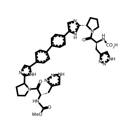 COC(=O)N[C@@H](Cc1c[nH]nn1)C(=O)N1CCCC1c1ncc(-c2ccc(-c3ccc(-c4cnc([C@@H]5CCCN5C(=O)[C@H](Cc5c[nH]nn5)NC(=O)O)[nH]4)cc3)cc2)[nH]1